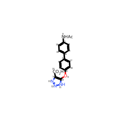 CC(=O)Nc1ccc(-c2ccc(Oc3[nH]nnc3C(=O)O)cc2)cc1